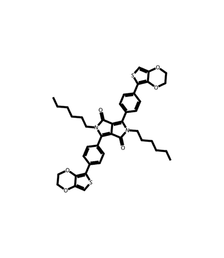 CCCCCCN1C(=O)C2=C(c3ccc(-c4scc5c4OCCO5)cc3)N(CCCCCC)C(=O)C2=C1c1ccc(-c2scc3c2OCCO3)cc1